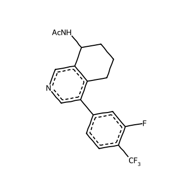 CC(=O)NC1CCCc2c(-c3ccc(C(F)(F)F)c(F)c3)cncc21